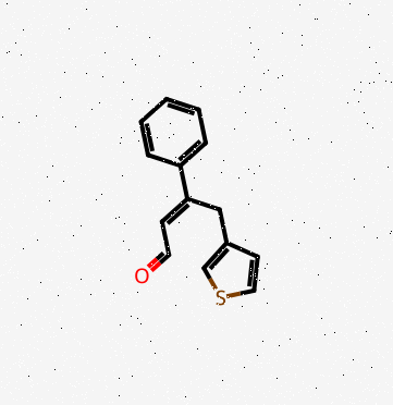 O=C/C=C(\Cc1ccsc1)c1ccccc1